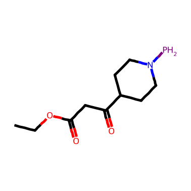 CCOC(=O)CC(=O)C1CCN(P)CC1